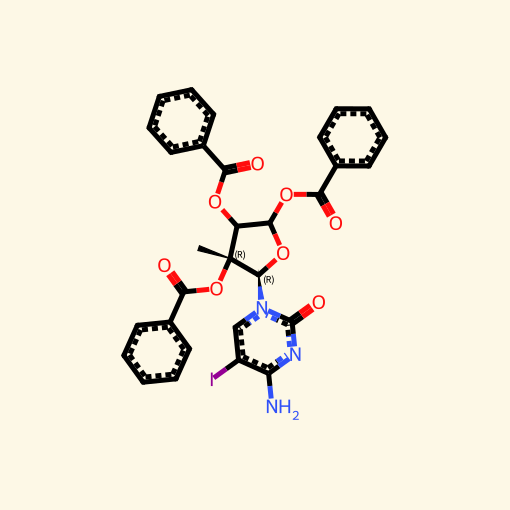 C[C@@]1(OC(=O)c2ccccc2)C(OC(=O)c2ccccc2)C(OC(=O)c2ccccc2)O[C@H]1n1cc(I)c(N)nc1=O